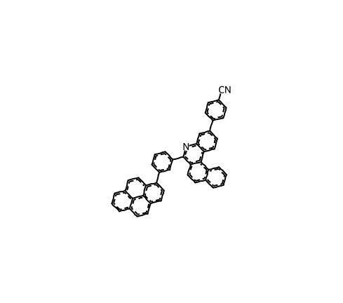 N#Cc1ccc(-c2ccc3c(c2)nc(-c2cccc(-c4ccc5ccc6cccc7ccc4c5c67)c2)c2ccc4ccccc4c23)cc1